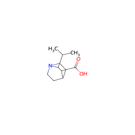 CC(C)C1C(C(=O)O)C2CCN1CC2